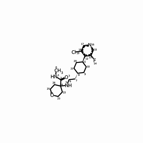 CNC(=O)C1(NCC[C@H]2CC[C@H](c3c(F)cncc3Cl)CC2)CCOCC1